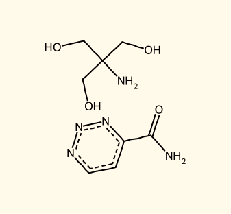 NC(=O)c1ccnnn1.NC(CO)(CO)CO